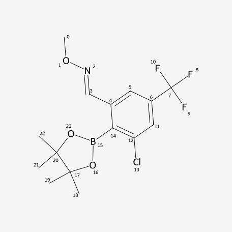 CO/N=C/c1cc(C(F)(F)F)cc(Cl)c1B1OC(C)(C)C(C)(C)O1